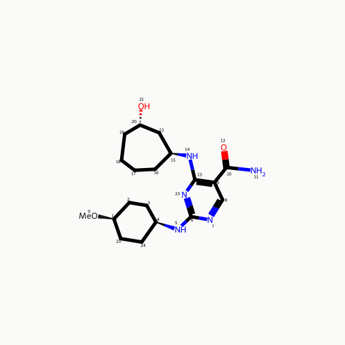 CO[C@H]1CC[C@@H](Nc2ncc(C(N)=O)c(N[C@H]3CCCC[C@H](O)C3)n2)CC1